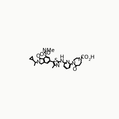 CNS(=O)(=O)c1cc(-c2sc(Nc3cccc(N4CCN(C(=O)O)CCC4=O)n3)nc2C)cc2c1C(=O)N(C(C)C1CC1)C2